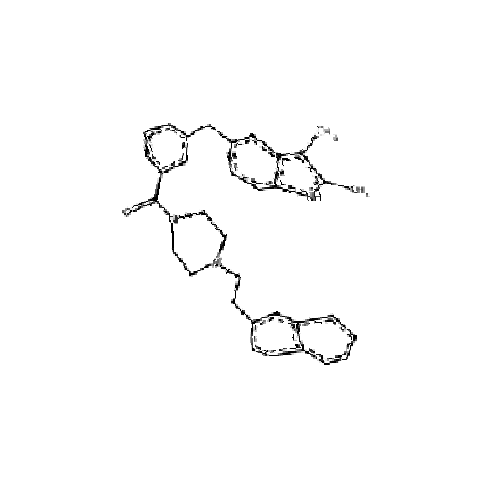 Cc1[nH]c2ccc(Cc3cccc(C(=O)N4CCN(CCc5ccc6ccccc6c5)CC4)c3)cc2c1C